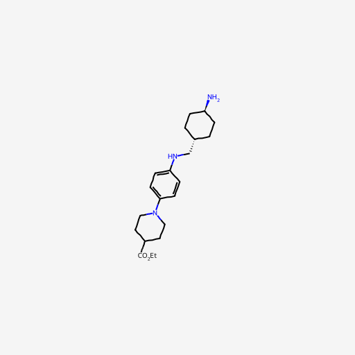 CCOC(=O)C1CCN(c2ccc(NC[C@H]3CC[C@H](N)CC3)cc2)CC1